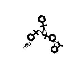 CC(C)([CH2][Sn+]([CH2]C(C)(C)c1ccccc1)[CH2]C(C)(C)c1ccccc1)c1ccccc1.Cc1coc2ccccc12.O=C[O-]